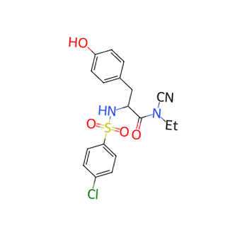 CCN(C#N)C(=O)C(Cc1ccc(O)cc1)NS(=O)(=O)c1ccc(Cl)cc1